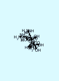 N=C(N)NCCC[C@H](NC(=O)[C@H](CCCNC(=N)N)NC(=O)[C@H](CCC(=O)O)NC(=O)[C@H](Cc1c[nH]cn1)NC(=O)[C@H](CCC(=O)O)NC(=O)[C@@H](N)CO)C(=O)O